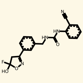 N#Cc1ccccc1NC(=O)NCc1cccc(C2=NOC(O)(F)C2)c1